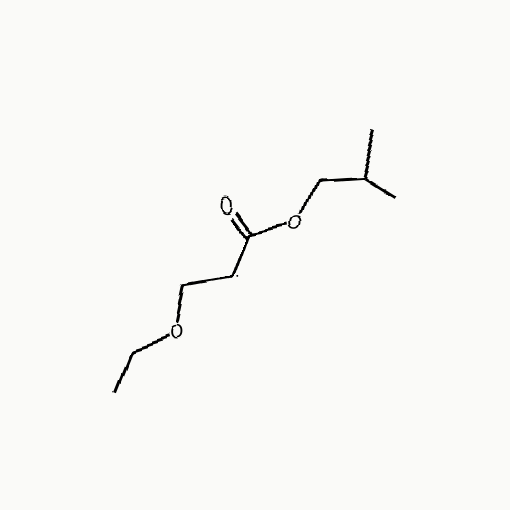 CCOC[CH]C(=O)OCC(C)C